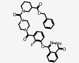 O=C(OCc1ccccc1)C1CCCN(C(=O)N2CCN(C(=O)c3cccc(Oc4n[nH]c(=O)c5ccccc45)c3F)CC2)C1